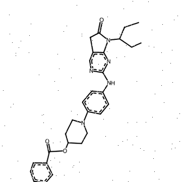 CCC(CC)N1C(=O)Cc2cnc(Nc3ccc(N4CCC(OC(=O)c5ccccc5)CC4)cc3)nc21